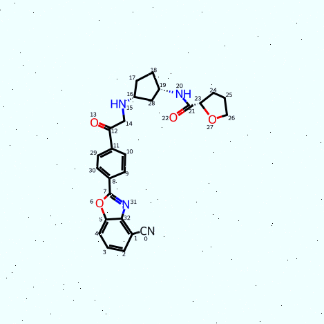 N#Cc1cccc2oc(-c3ccc(C(=O)CN[C@@H]4CC[C@H](NC(=O)[C@@H]5CCCO5)C4)cc3)nc12